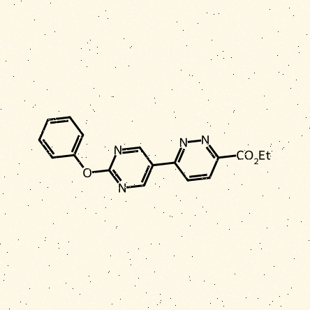 CCOC(=O)c1ccc(-c2cnc(Oc3ccccc3)nc2)nn1